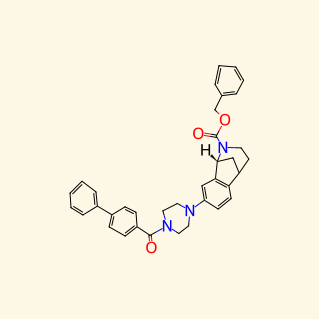 O=C(c1ccc(-c2ccccc2)cc1)N1CCN(c2ccc3c(c2)[C@H]2CC3CCN2C(=O)OCc2ccccc2)CC1